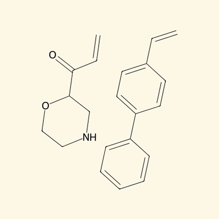 C=CC(=O)C1CNCCO1.C=Cc1ccc(-c2ccccc2)cc1